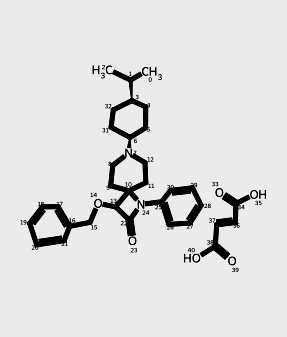 CC(C)[C@H]1CC[C@@H](N2CCC3(CC2)C(OCc2ccccc2)C(=O)N3c2ccccc2)CC1.O=C(O)/C=C/C(=O)O